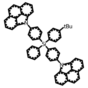 CC(C)(C)c1ccc([Si](c2ccccc2)(c2ccc(-n3c4cccc5ccc6cccc3c6c54)cc2)c2ccc(-n3c4cccc5ccc6cccc3c6c54)cc2)cc1